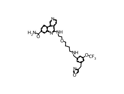 NC(=O)c1ccc2c(c1)nc(NCCOCCCCNCc1cc(Cc3cocn3)cc(OC(F)(F)F)c1)c1ccncc12